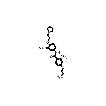 C=CCOc1ccc(C(=O)Nc2ccc(OCCN3CCCC3)c(OC)c2)c([N+](=O)[O-])c1